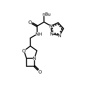 CCCCC(C(=O)NCC1CN2C(=O)CC2O1)n1ccnn1